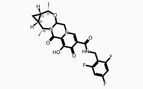 C[C@@H]1OC2Cn3cc(C(=O)NCc4c(F)cc(F)cc4F)c(=O)c(O)c3C(=O)N2[C@H](C)[C@@H]2C[C@@H]21